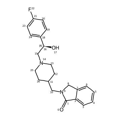 O=C1c2ccccc2CN1CC1CCN(C[C@H](O)c2ccc(F)cc2)CC1